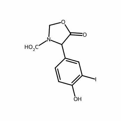 O=C1OCN(C(=O)O)C1c1ccc(O)c(I)c1